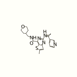 Cc1cc2nc(N[C@@H](C)c3cccnc3)nc(C(=O)NCC3CCOCC3)c2s1